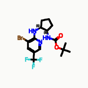 CC(C)(C)OC(=O)N[C@H]1CCC[C@@H]1Nc1ncc(C(F)(F)F)cc1Br